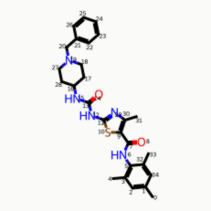 Cc1cc(C)c(NC(=O)c2sc(NC(=O)NC3CCN(Cc4ccccc4)CC3)nc2C)c(C)c1